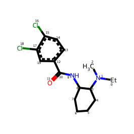 CCN(C)C1CCCCC1NC(=O)c1ccc(Cl)c(Cl)c1